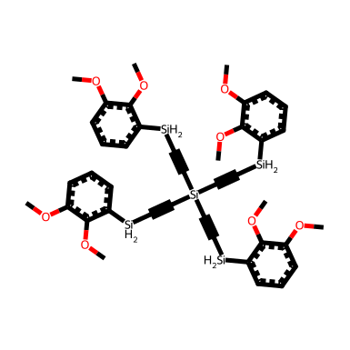 COc1cccc([SiH2]C#C[Si](C#C[SiH2]c2cccc(OC)c2OC)(C#C[SiH2]c2cccc(OC)c2OC)C#C[SiH2]c2cccc(OC)c2OC)c1OC